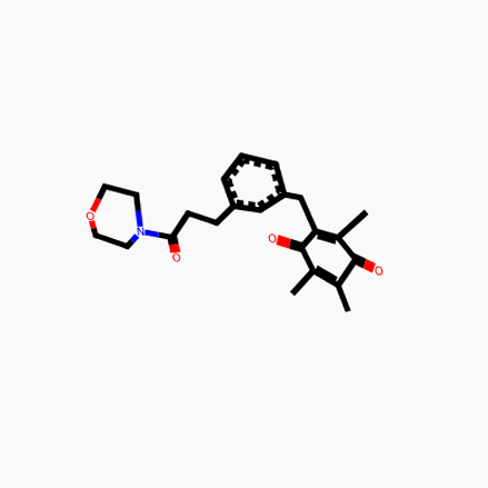 CC1=C(C)C(=O)C(Cc2cccc(CCC(=O)N3CCOCC3)c2)=C(C)C1=O